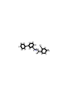 Cc1ccc(C(C)/N=C/c2cccc(-c3ccccc3)c2)c(C)c1